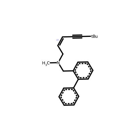 CN(C/C=C\C#CC(C)(C)C)Cc1ccccc1-c1ccccc1